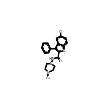 CC(=O)N1CCN(NC(=O)c2oc3ccc(Cl)cc3c2-c2ccccc2)CC1